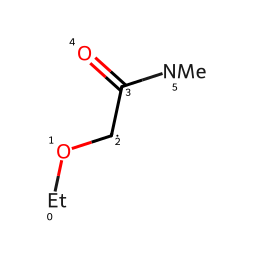 CCO[CH]C(=O)NC